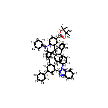 CC1(C)OB(c2ccc3c(c2)C2(c4ccccc4-c4ccccc42)c2cc(-c4cc(-c5ccccc5)cc(-c5nc6ccccc6n5-c5ccccc5)c4)ccc2N3c2ccccc2)OC1(C)C